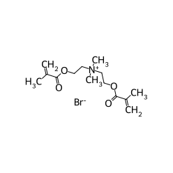 C=C(C)C(=O)OCC[N+](C)(C)CCOC(=O)C(=C)C.[Br-]